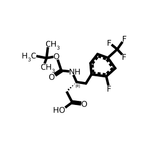 CC(C)(C)OC(=O)N[C@@H](CC(=O)O)Cc1ccc(C(F)(F)F)cc1F